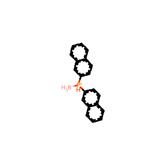 [BH3-][PH+](c1ccc2ccccc2c1)c1ccc2ccccc2c1